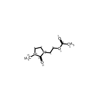 CC(=O)OCCN1CCN(C)C1=O